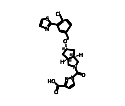 O=C(O)c1ccn(C(=O)N2C[C@H]3C[C@H](OCc4ccc(Cl)c(-c5nccs5)c4)C[C@H]3C2)n1